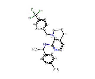 Cc1ccc(C(C)Nc2nccc3c2N(Cc2ccc(C(F)(F)F)cc2)CCC3)cc1